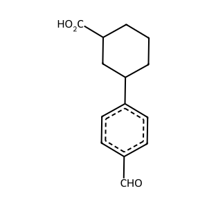 O=Cc1ccc(C2CCCC(C(=O)O)C2)cc1